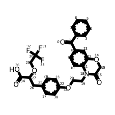 O=C(c1ccccc1)c1ccc2c(c1)OCC(=O)N2CCOc1ccc(CC(OCC(F)(F)F)C(=O)O)cc1